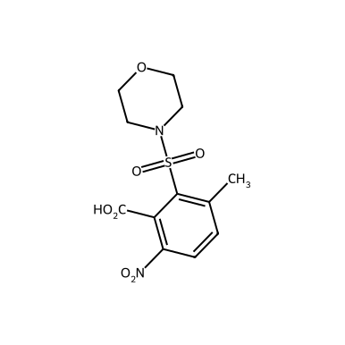 Cc1ccc([N+](=O)[O-])c(C(=O)O)c1S(=O)(=O)N1CCOCC1